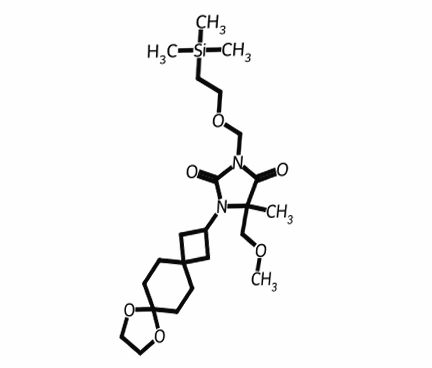 COCC1(C)C(=O)N(COCC[Si](C)(C)C)C(=O)N1C1CC2(CCC3(CC2)OCCO3)C1